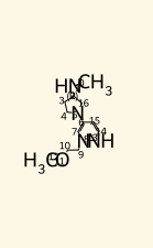 CN[C@@H]1CCN(C2=CN(CCOC)NC=C2)C1